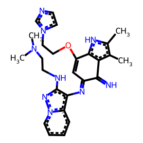 Cc1[nH]c2c(c1C)C(=N)C(=Nc1c(NCCN(C)C)nn3ccccc13)C=C2OCCn1ccnc1